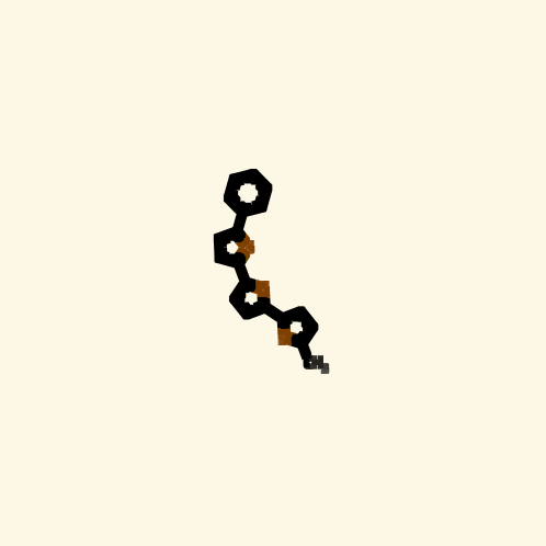 Cc1ccc(-c2ccc(-c3ccc(-c4ccccc4)s3)s2)s1